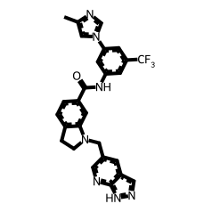 Cc1cn(-c2cc(NC(=O)c3ccc4c(c3)N(Cc3cnc5[nH]ncc5c3)CC4)cc(C(F)(F)F)c2)cn1